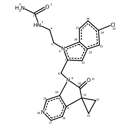 NC(=O)NCCn1c(CN2C(=O)C3(CC3)c3ccncc32)cc2cc(Cl)ccc21